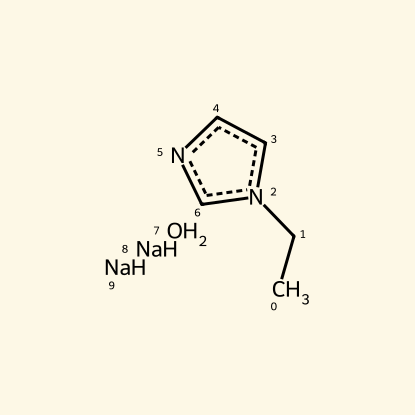 CCn1ccnc1.O.[NaH].[NaH]